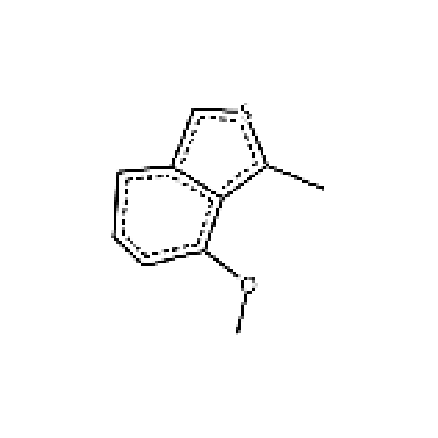 COc1cccc2csc(C)c12